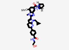 COc1cc(C(=O)N2C[C@H]3CC[C@@H]2[C@@H]3N)cc2nc(-c3cc4ccc(-c5ccc(C(=O)NCCO)cc5)nc4n3CC3CC3)n(C)c12